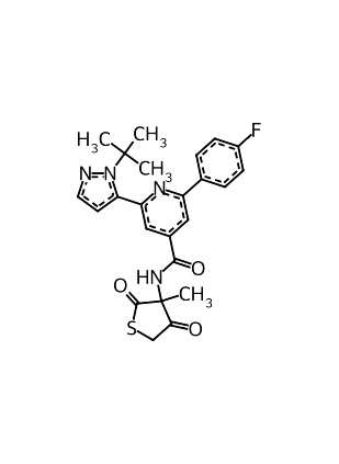 CC1(NC(=O)c2cc(-c3ccc(F)cc3)nc(-c3ccnn3C(C)(C)C)c2)C(=O)CSC1=O